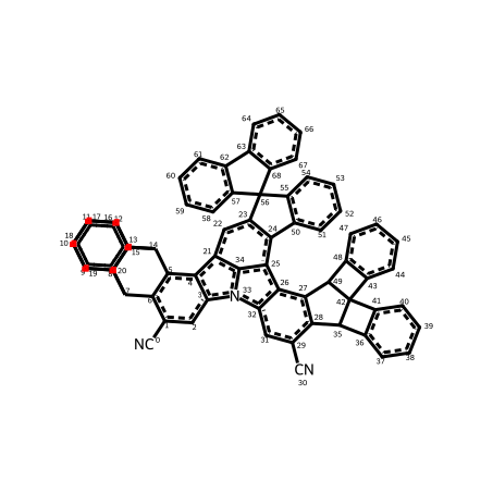 N#Cc1cc2c(c3c1C1c4ccccc4C3c3ccccc31)c1cc3c(c4c5c6c(c(C#N)cc5n2c14)C1c2ccccc2C12c1ccccc1C62)-c1ccccc1C31c2ccccc2-c2ccccc21